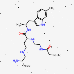 CCCCCC[C@H](N)CNCC[C@H](NCCNC(=O)CNC(C)=O)C(=O)N[C@@H](C)Cc1c[nH]c2cc(C)ccc12